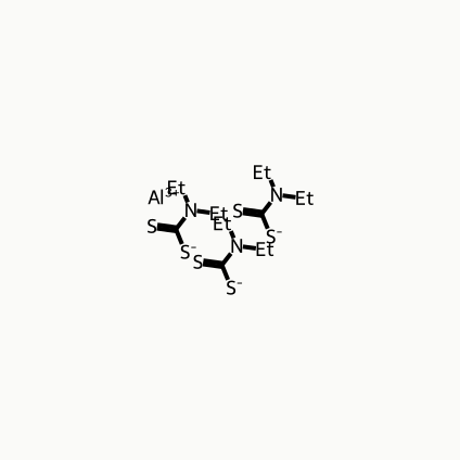 CCN(CC)C(=S)[S-].CCN(CC)C(=S)[S-].CCN(CC)C(=S)[S-].[Al+3]